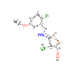 COc1ccc(F)c(CNc2ssc(=O)c2Cl)c1